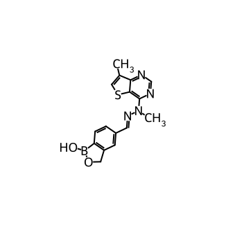 Cc1csc2c(N(C)/N=C/c3ccc4c(c3)COB4O)ncnc12